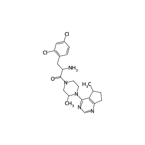 CC1CCc2ncnc(N3CCN(C(=O)C(N)Cc4ccc(Cl)cc4Cl)CC3C)c21